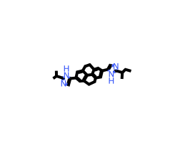 CCC(C)c1ncc(-c2cc3c4c(c2)CCc2cc(-c5cnc(C(C)C)[nH]5)cc(c2-4)CC3)[nH]1